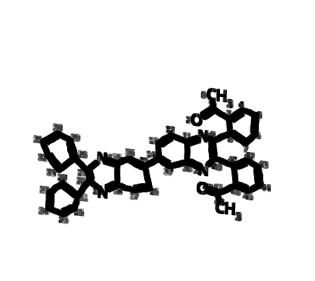 CC(=O)c1ccccc1-c1nc2ccc(-c3ccc4nc(-c5ccccc5)c(-c5ccccc5)nc4c3)cc2nc1-c1ccccc1C(C)=O